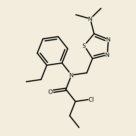 CCc1ccccc1N(Cc1nnc(N(C)C)s1)C(=O)C(Cl)CC